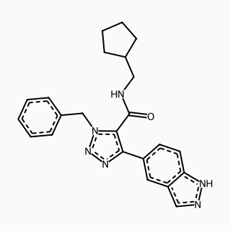 O=C(NCC1CCCC1)c1c(-c2ccc3[nH]ncc3c2)nnn1Cc1ccccc1